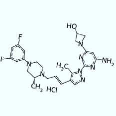 Cc1c(C=CCN2CCN(c3cc(F)cc(F)c3)C[C@@H]2C)cnn1-c1nc(N)cc(N2CC(O)C2)n1.Cl